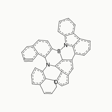 c1ccc2ccc3c(c2c#1)N(c1cccc2c1CCC=C2)c1c2c(cc4ccoc14)-c1cccc4c5ccccc5n(c14)B32